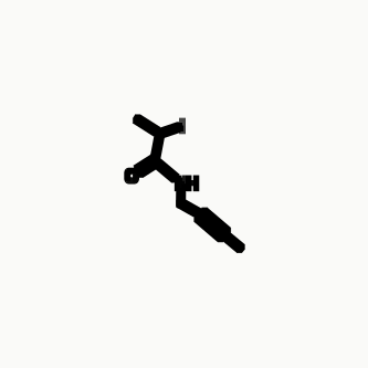 CC#CCNC(=O)C(C)I